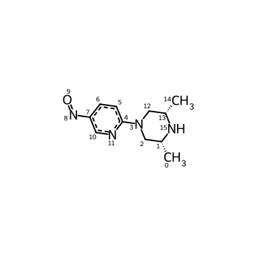 C[C@@H]1CN(c2ccc(N=O)cn2)C[C@H](C)N1